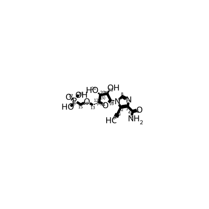 C#Cc1c(C(N)=O)ncn1[C@@H]1O[C@H](COCP(=O)(O)O)[C@@H](O)[C@H]1O